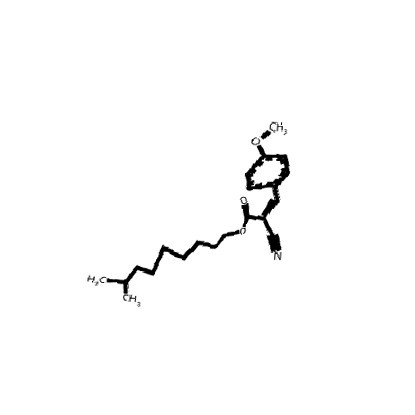 COc1ccc(C=C(C#N)C(=O)OCCCCCCCC(C)C)cc1